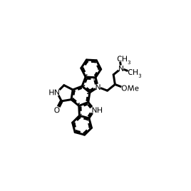 COC(CN(C)C)Cn1c2ccccc2c2c3c(c4c5ccccc5[nH]c4c21)C(=O)NC3